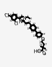 CCn1cc(-c2ccc(Cl)cc2Cl)nc1/C=C/c1ccc(-c2ccc(OCCC(C)(C)C(=O)O)cc2)cc1